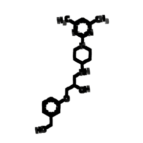 Cc1cc(C)nc(N2CCC(NCC(O)COc3cccc(CO)c3)CC2)n1